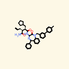 C=CC[C@H](C(N)=O)[C@@H](CC1CCCC1)C(=O)NC1N=C(c2ccccc2)c2ccccc2N(Cc2cccc(-c3ccc(C)cc3)c2)C1=O